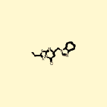 CCc1nn2c(=O)cc(Cn3cnc4ccccc43)nc2s1